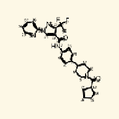 O=C(Nc1ccc(C2CCN(C(=O)C3CCCC3)CC2)cc1)c1cn(-c2ccccn2)nc1C(F)(F)F